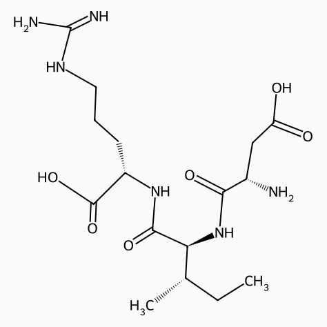 CC[C@H](C)[C@H](NC(=O)[C@@H](N)CC(=O)O)C(=O)N[C@@H](CCCNC(=N)N)C(=O)O